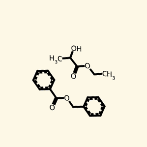 CCOC(=O)C(C)O.O=C(OCc1ccccc1)c1ccccc1